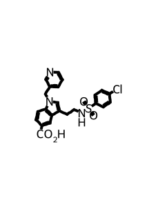 O=C(O)c1ccc2c(c1)c(CCNS(=O)(=O)c1ccc(Cl)cc1)cn2Cc1cccnc1